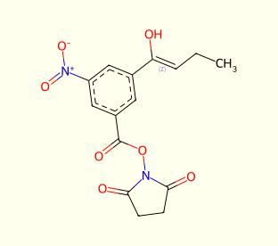 CC/C=C(\O)c1cc(C(=O)ON2C(=O)CCC2=O)cc([N+](=O)[O-])c1